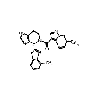 Cc1cccc2sc([C@@H]3c4nc[nH]c4CCN3C(=O)c3cnn4c3C=CC(C)C4)nc12